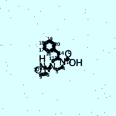 O=C(O)N1CCN(N2C=CON2)CC1Cc1ccccc1